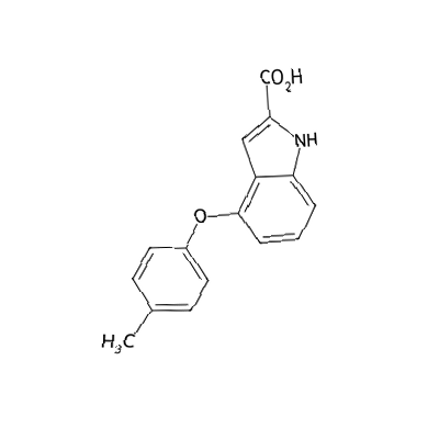 Cc1ccc(Oc2cccc3[nH]c(C(=O)O)cc23)cc1